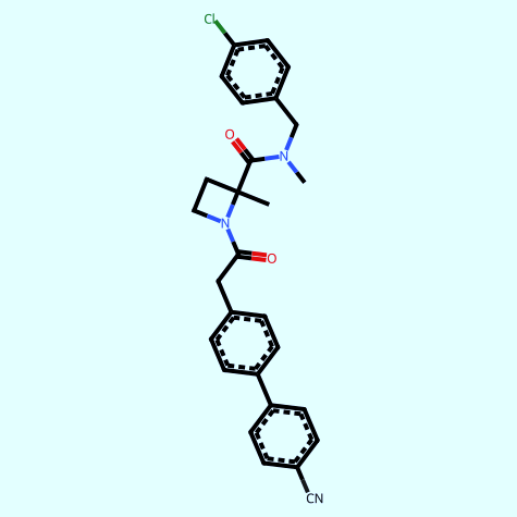 CN(Cc1ccc(Cl)cc1)C(=O)C1(C)CCN1C(=O)Cc1ccc(-c2ccc(C#N)cc2)cc1